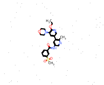 CCOc1ncc(-c2cc(NC(=O)c3cccc(S(C)(=O)=O)c3)cnc2C)cc1N1CCOCC1